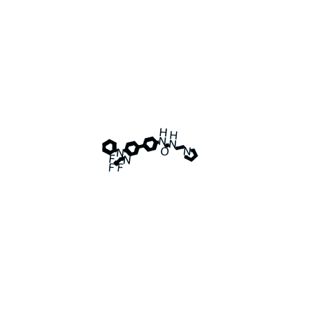 O=C(NCCN1CCCC1)Nc1ccc(-c2ccc3c(c2)nc(C(F)(F)F)n3-c2ccccc2)cc1